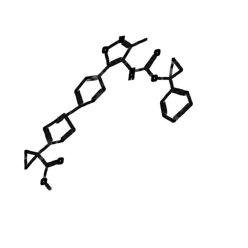 COC(=O)C1(c2ccc(-c3ccc(-c4onc(C)c4NC(=O)OC4(c5ccccc5)CC4)cc3)cc2)CC1